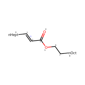 CCCCCCC/C=C/C(=O)OCCCCCCCCCC